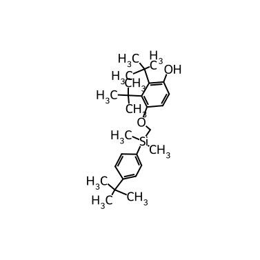 CC(C)(C)c1ccc([Si](C)(C)COc2ccc(O)c(C(C)(C)C)c2C(C)(C)C)cc1